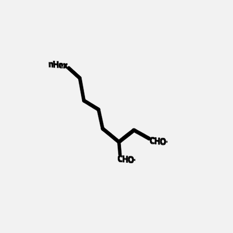 CCCCCCCCCCC([C]=O)C[C]=O